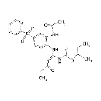 CCC(=O)N=C(NC(=O)OC(C)CC)Nc1ccc(S(=O)(=O)c2ccccc2)cc1NC(C)=O